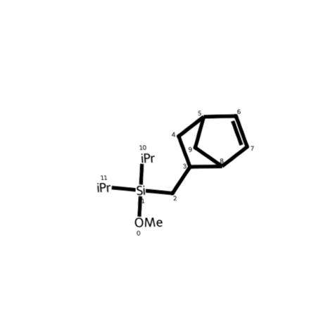 CO[Si](CC1CC2C=CC1C2)(C(C)C)C(C)C